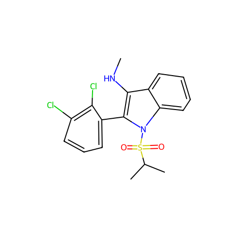 CNc1c(-c2cccc(Cl)c2Cl)n(S(=O)(=O)C(C)C)c2ccccc12